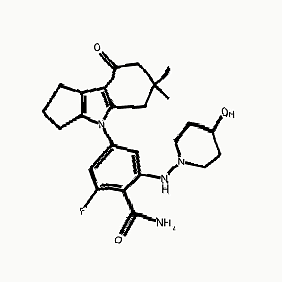 CC1(C)CC(=O)c2c3c(n(-c4cc(F)c(C(N)=O)c(NN5CCC(O)CC5)c4)c2C1)CCC3